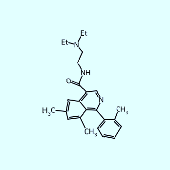 CCN(CC)CCNC(=O)c1cnc(-c2ccccc2C)c2c(C)cc(C)cc12